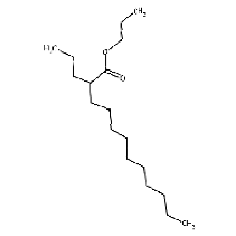 CCCCCCCCCCC(CCC)C(=O)OCCC